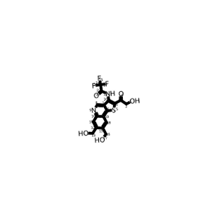 O=C(CO)c1sc2c(cnc3cc(CO)c(CO)cc32)c1NC(=O)C(F)(F)F